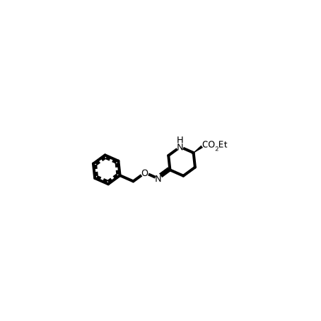 CCOC(=O)[C@H]1CCC(=NOCc2ccccc2)CN1